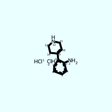 Cl.Cl.Nc1ccccc1C1=CCNCC1